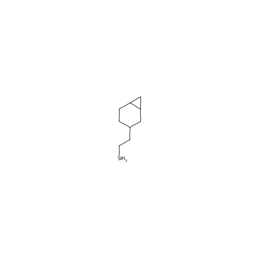 [SiH3]CCC1CCC2CC2C1